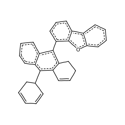 C1=CCC(c2c3c(c(-c4cccc5c4oc4ccccc45)c4ccccc24)CCC=C3)C=C1